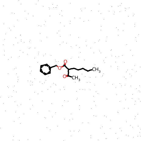 CCCCCC(C(C)=O)C(=O)OCc1ccccc1